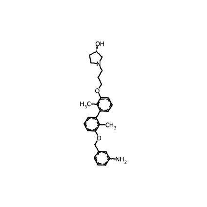 Cc1c(OCCCN2CC[C@@H](O)C2)cccc1-c1cccc(OCc2cccc(N)c2)c1C